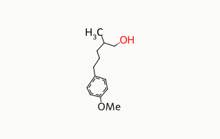 COc1ccc(CCCC(C)CO)cc1